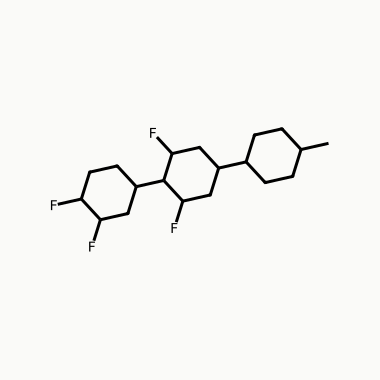 CC1CCC(C2CC(F)C(C3CCC(F)C(F)C3)C(F)C2)CC1